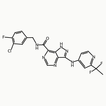 CC(F)(F)c1cc(Nc2n[nH]c3c(C(=O)NCc4ccc(F)c(Cl)c4)ncnc23)ccn1